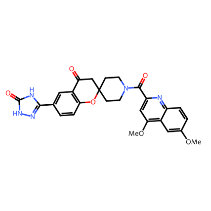 COc1ccc2nc(C(=O)N3CCC4(CC3)CC(=O)c3cc(-c5n[nH]c(=O)[nH]5)ccc3O4)cc(OC)c2c1